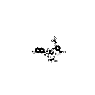 COC(=O)COc1ccc(C(=N)N)cc1CN1CCC(NS(=O)(=O)c2ccc3ccc(OC)cc3c2)C1=O.O=C(O)C(F)(F)F